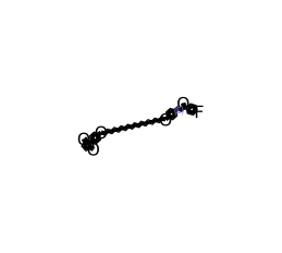 O=C(/C=C/c1ccc(OCCCCCCCCCCCCCCCCCCOc2ccc(N3C(=O)C=CC3=O)cc2)cc1)c1ccc(F)cc1